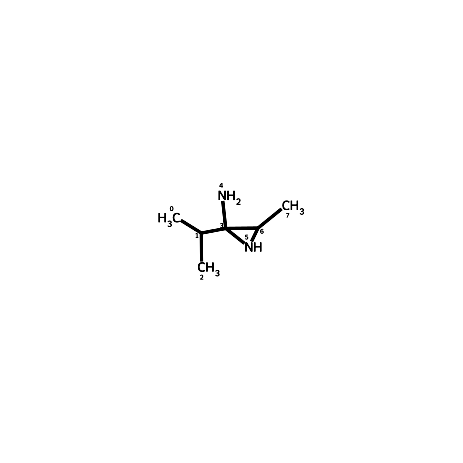 CC(C)C1(N)NC1C